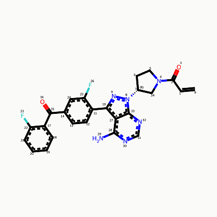 C=CC(=O)N1CC[C@@H](n2nc(-c3ccc(C(=O)c4ccccc4F)cc3F)c3c(N)ncnc32)C1